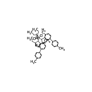 CCC1=Cc2c(-c3ccc(C)cc3)ccc(C)c2[CH]1[Zr]([Cl])([Cl])([CH]1C(C)=Cc2c(-c3ccc(C)cc3)ccc(C)c21)[SiH](CC)CC